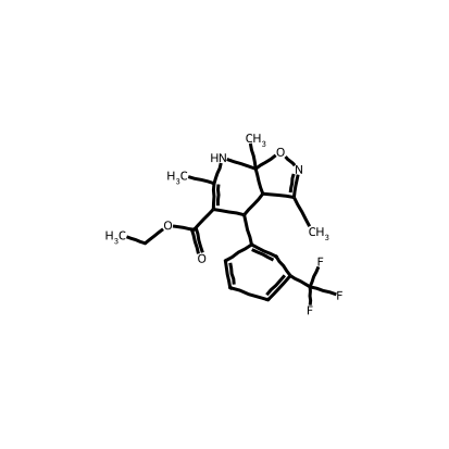 CCOC(=O)C1=C(C)NC2(C)ON=C(C)C2C1c1cccc(C(F)(F)F)c1